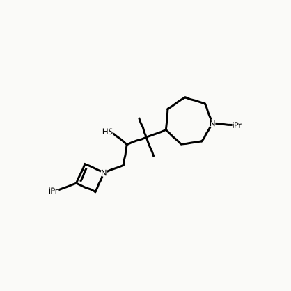 CC(C)C1=CN(CC(S)C(C)(C)C2CCCN(C(C)C)CC2)C1